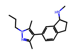 CCCn1nc(C)c(-c2ccc3c(c2)C(NC)CC3)c1C